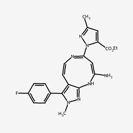 CCOC(=O)c1cc(C)nn1-c1cc(N)[nH]c2nn(C)c(-c3ccc(F)cc3)c2ccn1